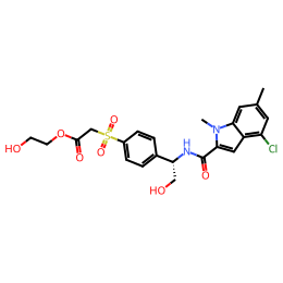 Cc1cc(Cl)c2cc(C(=O)N[C@H](CO)c3ccc(S(=O)(=O)CC(=O)OCCO)cc3)n(C)c2c1